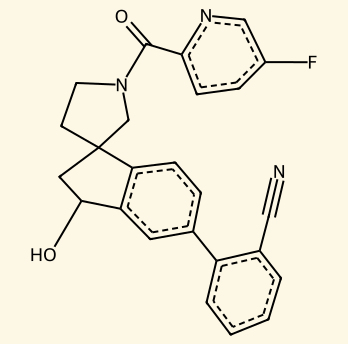 N#Cc1ccccc1-c1ccc2c(c1)C(O)CC21CCN(C(=O)c2ccc(F)cn2)C1